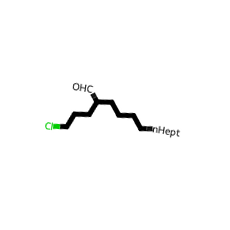 CCCCCCCCCCCC(C=O)CCCCl